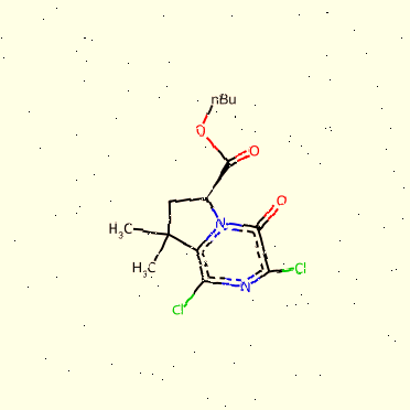 CCCCOC(=O)[C@@H]1CC(C)(C)c2c(Cl)nc(Cl)c(=O)n21